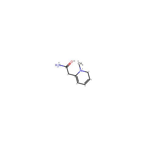 CN1CC=CC=C1CC(N)=O